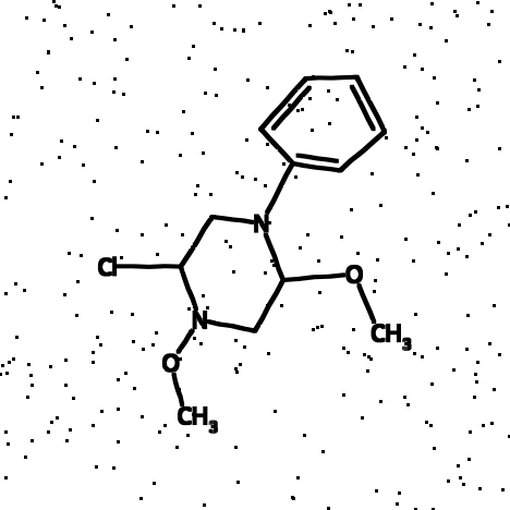 COC1CN(OC)C(Cl)CN1c1ccccc1